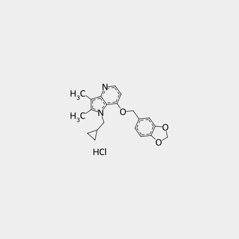 Cc1c(C)n(CC2CC2)c2c(OCc3ccc4c(c3)OCO4)ccnc12.Cl